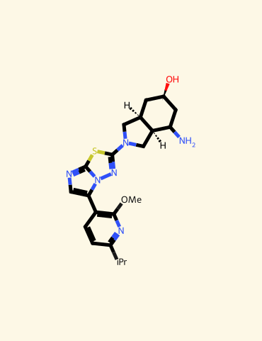 COc1nc(C(C)C)ccc1-c1cnc2sc(N3C[C@H]4C[C@@H](O)CC(N)[C@H]4C3)nn12